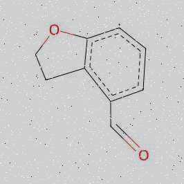 O=Cc1cc[c]c2c1CCO2